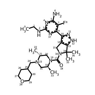 CCNc1nc(N)c(F)c(-c2n[nH]c3c2CN(C(=O)N2C[C@@H](C)N(CC4CCOCC4)C[C@@H]2C)C3(C)C)n1